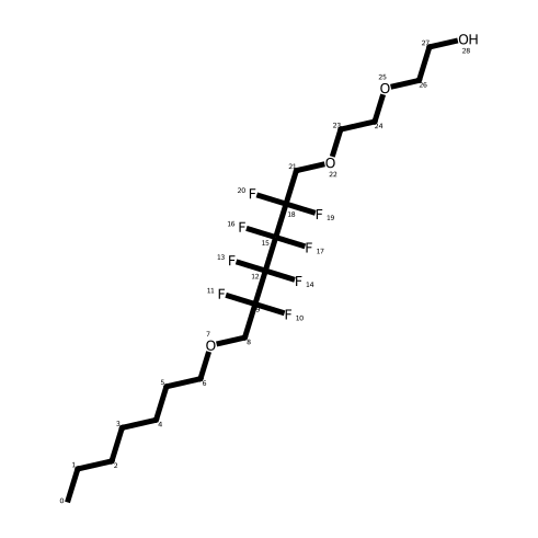 CCCCCCCOCC(F)(F)C(F)(F)C(F)(F)C(F)(F)COCCOCCO